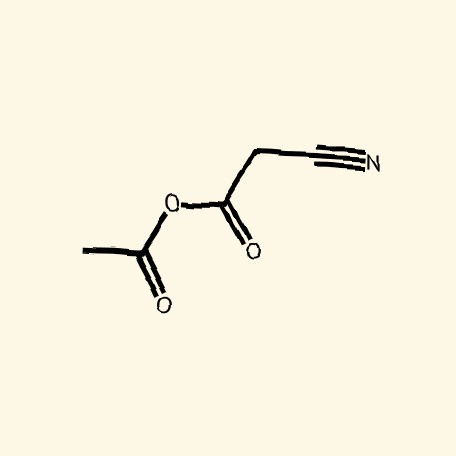 CC(=O)OC(=O)CC#N